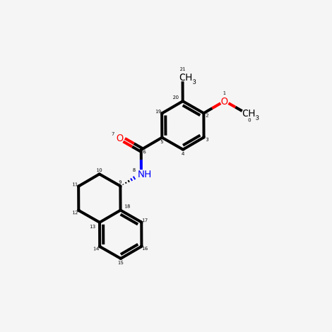 COc1ccc(C(=O)N[C@H]2CCCc3ccccc32)cc1C